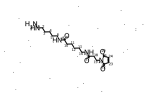 NNCCCCCNC(=O)CCCCCNC(=O)CCN1C(=O)C=CC1=O